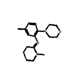 Cc1ccc(N2CCOCC2)c(/N=C2\CCCCN2C)c1